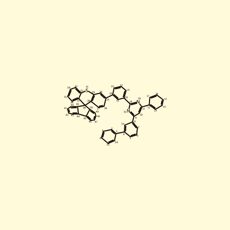 c1ccc(-c2cccc(-c3cc(-c4ccccc4)nc(-c4cccc(-c5ccc6c(c5)Sc5ccccc5C65c6ccccc6-c6ccccc65)c4)n3)c2)cc1